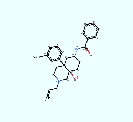 C=CCN1CCC2(c3cccc(OC)c3)C[C@H](NC(=O)c3ccccc3)CCC2(O)C1